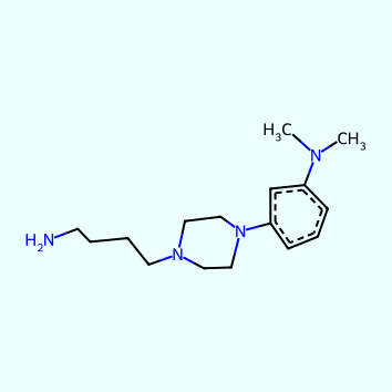 CN(C)c1cccc(N2CCN(CCCCN)CC2)c1